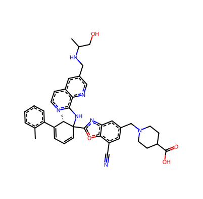 Cc1ccccc1C1=CC=CC(Nc2nccc3cc(CNC(C)CO)cnc23)(c2nc3cc(CN4CCC(C(=O)O)CC4)cc(C#N)c3o2)[C@H]1C